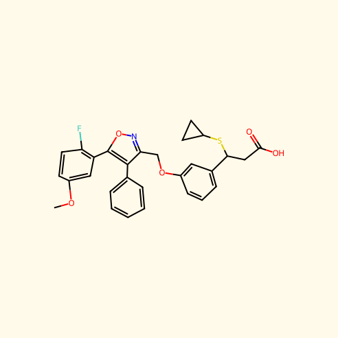 COc1ccc(F)c(-c2onc(COc3cccc(C(CC(=O)O)SC4CC4)c3)c2-c2ccccc2)c1